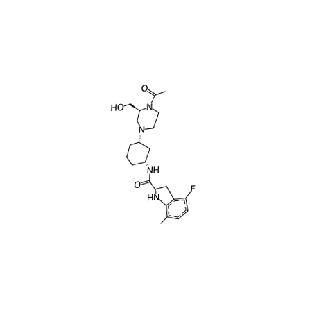 CC(=O)N1CCN([C@H]2CCC[C@@H](NC(=O)C3Cc4c(F)ccc(C)c4N3)C2)C[C@H]1CO